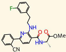 COC(=O)[C@H](C)NC(=O)c1ccc(-c2ccccc2C#N)nc1NCCc1cccc(F)c1